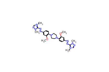 COc1cc(N=Nc2n(C)nc[n+]2C)ccc1N1CCN(c2ccc(N=Nc3n(C)nc[n+]3C)cc2OC)CC1